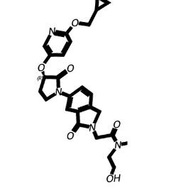 CN(CCO)C(=O)CN1Cc2ccc(N3CC[C@@H](Oc4ccc(OCC5CC5)nc4)C3=O)cc2C1=O